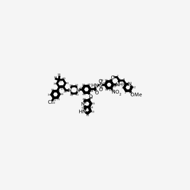 COc1ccc(CC2COc3cc(S(=O)(=O)NC(=O)c4ccc(N5CCN(CC6=C(c7ccc(Cl)cc7)CC(C)(C)CC6)CC5)cc4Oc4cnc5[nH]ccc5c4)cc([N+](=O)[O-])c3N2)nc1